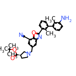 Cc1c(N)cccc1-c1cccc(-c2nc3cc(CN4CC[C@@H](C(=O)OC(C)(C)C)C4)cc(C#N)c3o2)c1C